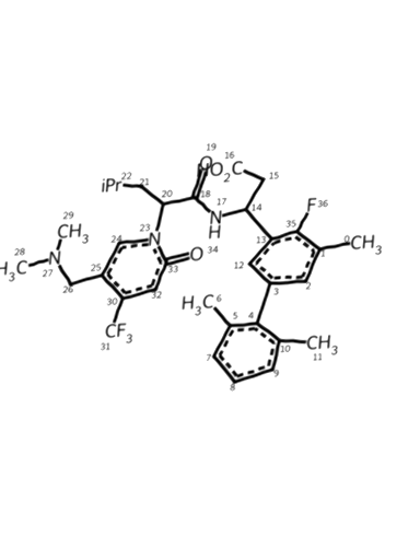 Cc1cc(-c2c(C)cccc2C)cc(C(CC(=O)O)NC(=O)C(CC(C)C)n2cc(CN(C)C)c(C(F)(F)F)cc2=O)c1F